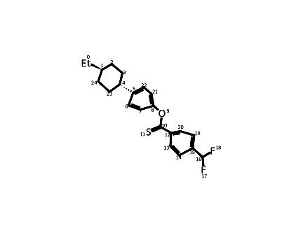 CC[C@H]1CC[C@H](c2ccc(OC(=S)c3ccc(C(F)F)cc3)cc2)CC1